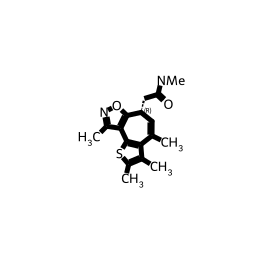 CNC(=O)C[C@@H]1C=C(C)c2c(sc(C)c2C)-c2c(C)noc21